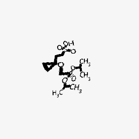 CC(C)OP(=O)(COC1(CCS(=O)(=O)O)CC1)OC(C)C